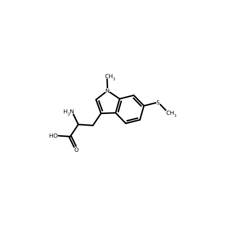 CSc1ccc2c(CC(N)C(=O)O)cn(C)c2c1